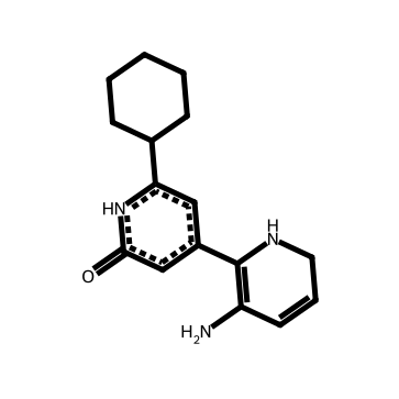 NC1=C(c2cc(C3CCCCC3)[nH]c(=O)c2)NCC=C1